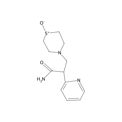 NC(=O)C(CN1CC[S+]([O-])CC1)c1ccccn1